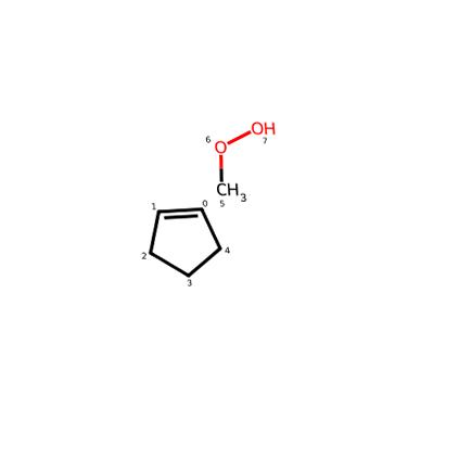 C1=CCCC1.COO